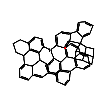 C1=CC2=CC=CC(c3ccccc3N(c3ccc4c(c3)C3(c5ccccc5-4)C4CC5CC6CC3C564)c3ccccc3-c3cccc4cccc(-c5ccccc5)c34)C2C(C2CCCCC2)=C1